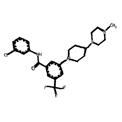 CN1CCN(C2CCN(c3cc(C(=O)Nc4cccc(Cl)c4)cc(C(F)(F)F)c3)CC2)CC1